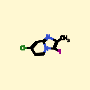 Cc1nc2cc(Cl)ccn2c1I